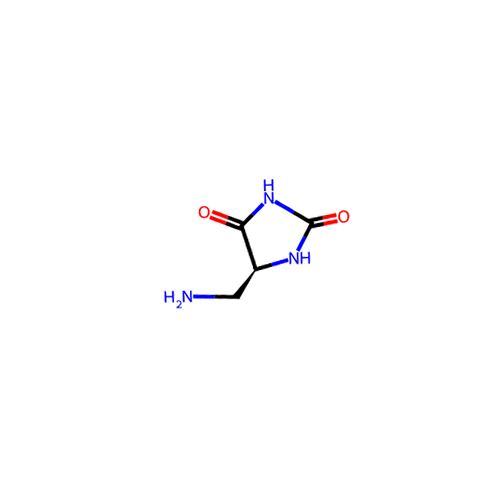 NC[C@@H]1NC(=O)NC1=O